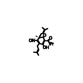 CC(C)=CCC1=C(N=O)[C@@](C)(CC=C(C)C)C(=O)C(C(=O)C(C)C)=C1O